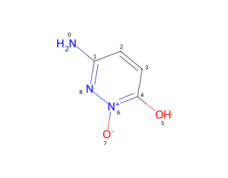 Nc1ccc(O)[n+]([O-])n1